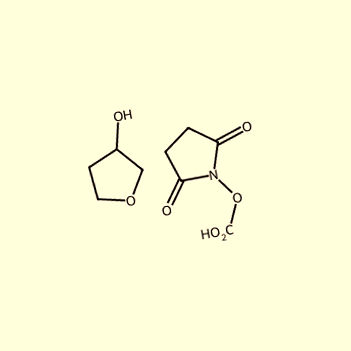 O=C(O)ON1C(=O)CCC1=O.OC1CCOC1